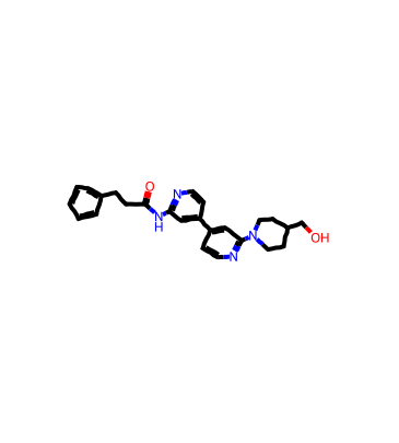 O=C(CCc1ccccc1)Nc1cc(-c2ccnc(N3CCC(CO)CC3)c2)ccn1